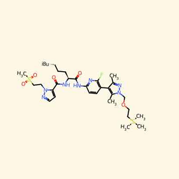 CC[C@@H](C)CCC[C@H](NC(=O)c1ccnn1CCS(C)(=O)=O)C(=O)Nc1ccc(-c2c(C)nn(COCCS(C)(C)C)c2C)c(F)n1